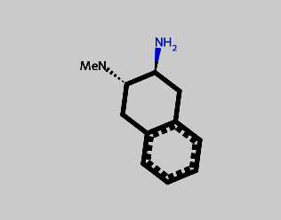 CN[C@H]1Cc2ccccc2C[C@@H]1N